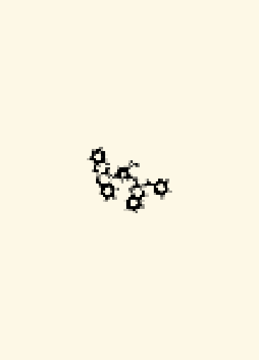 COc1cc(OC(=O)N(Cc2ccccc2)Cc2ccccc2)sc1OC(=O)N(Cc1ccccc1)Cc1ccccc1